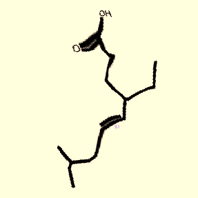 CCC(/C=C/CC(C)C)CCC(=O)O